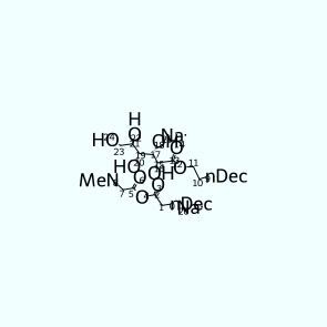 CCCCCCCCCCCC(=O)OC(=O)CNC.CCCCCCCCCCCCOC(=O)[C@H](O)[C@@H](O)[C@H](O)[C@H](O)CO.[Na].[Na]